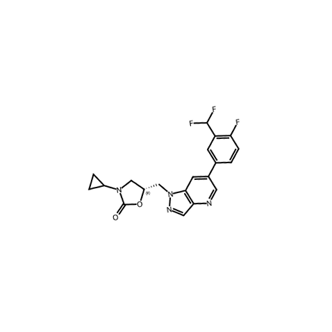 O=C1O[C@@H](Cn2ncc3ncc(-c4ccc(F)c(C(F)F)c4)cc32)CN1C1CC1